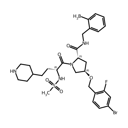 Bc1ccccc1CNC(=O)[C@@H]1C[C@@H](OCc2ccc(Br)cc2F)CN1C(=O)[C@@H](CCC1CCNCC1)NS(C)(=O)=O